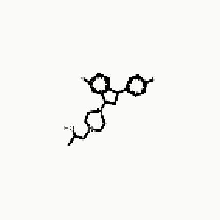 CC(O)CN1CCN(C2CC(c3ccc(F)cc3)c3ccc(F)cc32)CC1